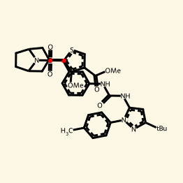 COC(=O)c1csc(S(=O)(=O)N2C3CCC2CC(Cc2cccc(NC(=O)Nc4cc(C(C)(C)C)nn4-c4ccc(C)cc4)c2)C3)c1OC